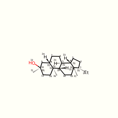 CC[C@H]1CC[C@H]2[C@@H]3CC[C@H]4C[C@](C)(O)CC[C@]4(C)[C@H]3CC[C@]12C